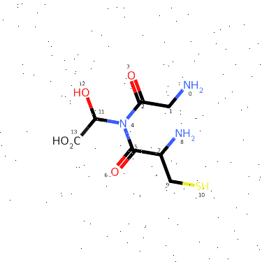 NCC(=O)N(C(=O)C(N)CS)C(O)C(=O)O